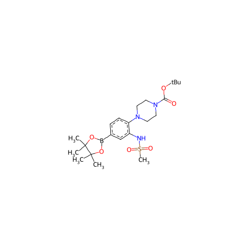 CC(C)(C)OC(=O)N1CCN(c2ccc(B3OC(C)(C)C(C)(C)O3)cc2NS(C)(=O)=O)CC1